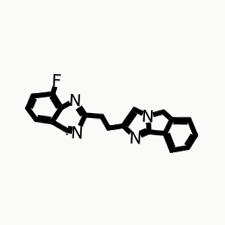 Fc1cccc2[c]nc(CCc3cn4c(n3)-c3ccccc3C4)nc12